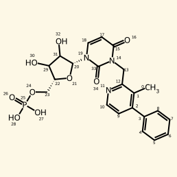 Cc1c(-c2ccccc2)ccnc1Cn1c(=O)ccn([C@@H]2O[C@H](COP(=O)(O)O)C(O)C2O)c1=O